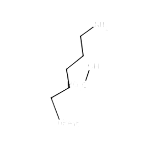 CCCCCCCCCCN.O=C(O)O